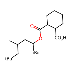 CCC(C)C(CC(C)CC(C)(C)C)OC(=O)C1CCCCC1C(=O)O